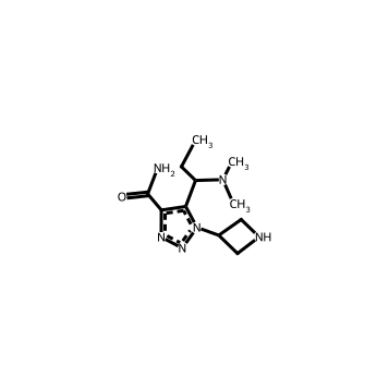 CCC(c1c(C(N)=O)nnn1C1CNC1)N(C)C